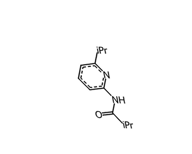 CC(C)C(=O)Nc1cccc(C(C)C)n1